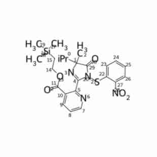 CC(C)C1(C)N=C(c2ncccc2C(=O)OCC[Si](C)(C)C)N(Sc2ccccc2[N+](=O)[O-])C1=O